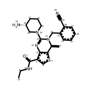 C=C1c2scc(C(=O)NCC)c2N=C(N2CCC[C@@H](N)C2)N1Cc1ccccc1C#N